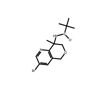 CC1(N[S+]([O-])C(C)(C)C)COCc2cc(Br)cnc21